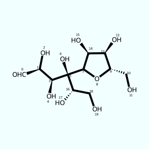 O=C[C@@H](O)[C@H](O)[C@](O)(C1O[C@@H](CO)[C@H](O)[C@@H]1O)[C@@H](O)CO